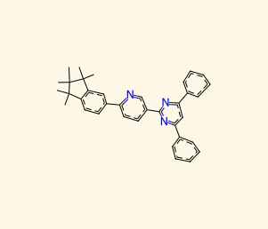 CC1(C)c2ccc(-c3ccc(-c4nc(-c5ccccc5)cc(-c5ccccc5)n4)cn3)cc2C(C)(C)C1(C)C